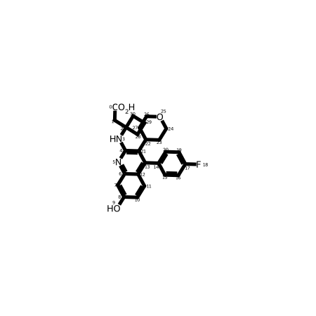 O=C(O)CC1(Nc2nc3cc(O)ccc3c(-c3ccc(F)cc3)c2C2CCOCC2)CCC1